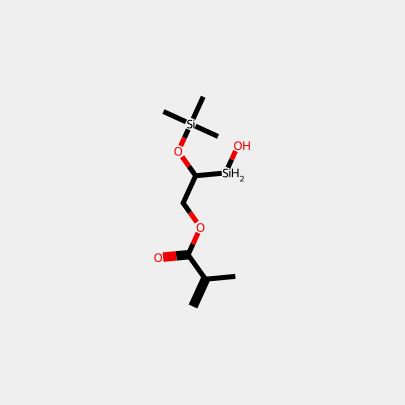 C=C(C)C(=O)OCC(O[Si](C)(C)C)[SiH2]O